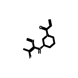 C=CC(=O)N1CCC[C@@H](N/C(N=C)=C(/C)F)C1